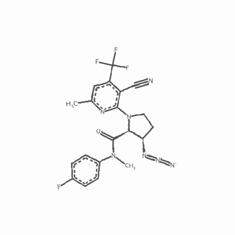 Cc1cc(C(F)(F)F)c(C#N)c(N2CC[C@@H](N=[N+]=[N-])[C@H]2C(=O)N(C)c2ccc(F)cc2)n1